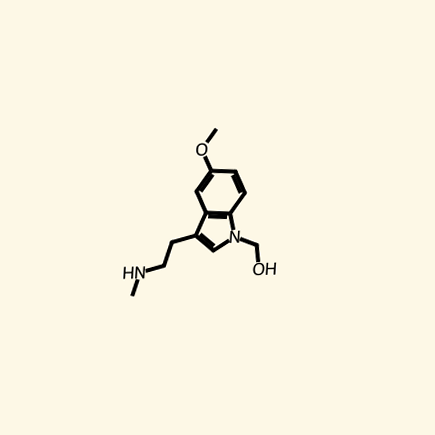 CNCCc1cn(CO)c2ccc(OC)cc12